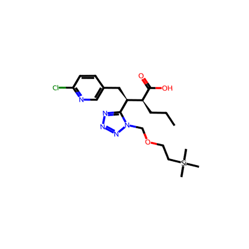 CCC[C@H](C(=O)O)[C@H](Cc1ccc(Cl)nc1)c1nnnn1COCC[Si](C)(C)C